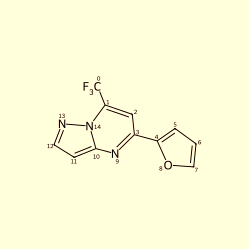 FC(F)(F)c1cc(-c2ccco2)nc2ccnn12